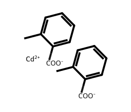 Cc1ccccc1C(=O)[O-].Cc1ccccc1C(=O)[O-].[Cd+2]